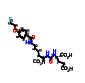 O=C(O)CC[C@H](NC(=O)N[C@@H](CCCCNC(=O)c1ccc(OCCF)cc1)C(=O)O)C(=O)O